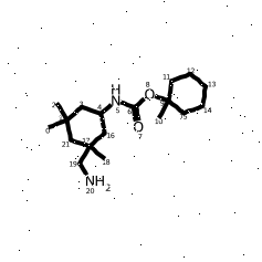 CC1(C)CC(NC(=O)OC2(C)CCCCC2)CC(C)(CN)C1